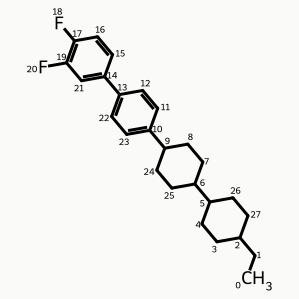 CCC1CCC(C2CCC(c3ccc(-c4ccc(F)c(F)c4)cc3)CC2)CC1